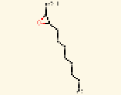 CCCCCCCCC1OC1CCCCCCCC(C)=O